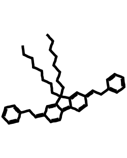 CCCCCCCCC1(CCCCCCCC)c2cc(=CCc3ccccc3)ccc2=c2ccc(=CCc3ccccc3)cc21